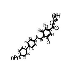 CCCC1CCC(c2ccc(CCc3c(C)cc(C(=O)OOO)c(F)c3F)cc2)CC1